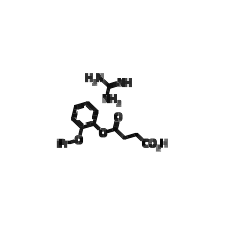 CC(C)Oc1ccccc1OC(=O)CCC(=O)O.N=C(N)N